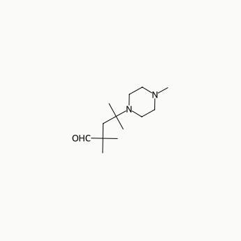 CN1CCN(C(C)(C)CC(C)(C)C=O)CC1